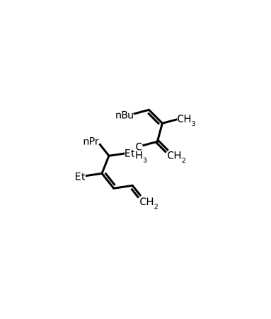 C=C(C)C(C)=CCCCC.C=CC=C(CC)C(CC)CCC